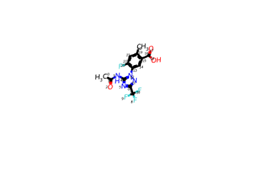 CC(=O)Nc1nc(C(F)(F)F)nn1-c1cc(C(=O)O)c(C)cc1F